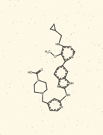 COc1c(NCC2CC2)ncnc1-c1ccc2nc(Nc3cc(CN4CCN(C(=O)O)CC4)ccn3)[nH]c2c1